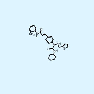 Nc1ccccc1NC(=O)/C=C/c1ccc(C(NCc2cccs2)C(=O)NC2CCCCC2)cc1